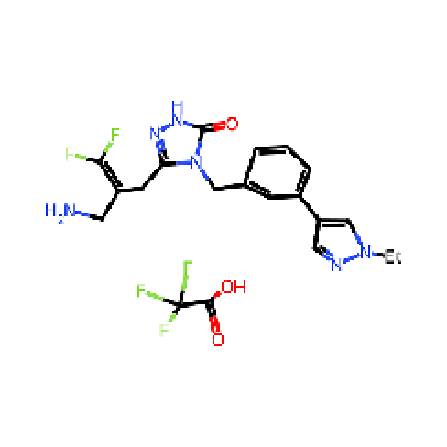 CCn1cc(-c2cccc(Cn3c(CC(CN)=C(F)F)n[nH]c3=O)c2)cn1.O=C(O)C(F)(F)F